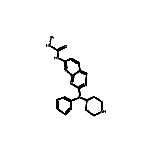 CC(C)NC(=O)Nc1ccc2cnc(N(c3ccccc3)N3CCNCC3)nc2n1